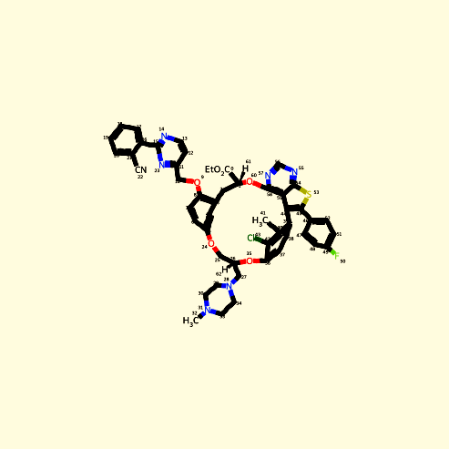 CCOC(=O)[C@H]1Cc2cc(ccc2OCc2ccnc(-c3ccccc3C#N)n2)OC[C@@H](CN2CCN(C)CC2)Oc2ccc(c(C)c2Cl)-c2c(-c3ccc(F)cc3)sc3ncnc(c23)O1